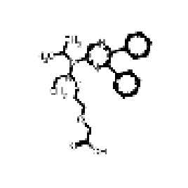 CC[C@H](OCCOCC(=O)O)N(c1cnc(-c2ccccc2)c(-c2ccccc2)n1)C(C)C